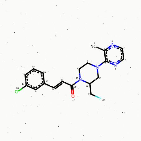 N#Cc1nccnc1N1CCN(C(=O)C=Cc2cccc(Cl)c2)C(CF)C1